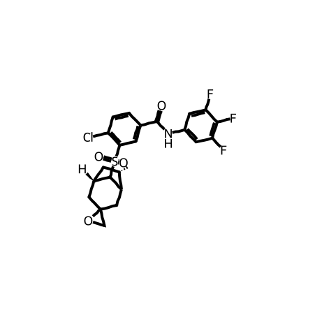 C[C@H]1C[C@H]2CC3(CO3)CC1C2S(=O)(=O)c1cc(C(=O)Nc2cc(F)c(F)c(F)c2)ccc1Cl